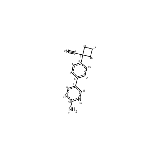 N#CC1(c2ccc(-c3cnc(N)nc3)cc2)CCC1